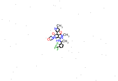 Cc1ccc(-c2c(=O)n(N3CCOCC3)cc3c(N[C@H](C)c4cccc(C(F)(F)F)c4F)nn(C)c(=O)c23)cn1